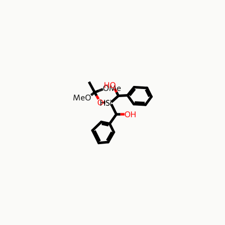 COC(C)(OC)O[SiH](C(O)c1ccccc1)C(O)c1ccccc1